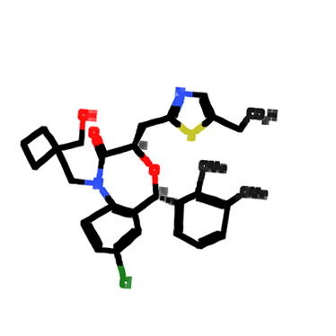 COc1cccc([C@H]2O[C@H](Cc3ncc(CC(=O)O)s3)C(=O)N(CC3(CO)CCC3)c3ccc(Cl)cc32)c1OC